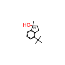 CC(C)(C)c1cccc2c1CC[C@@]2(C)O